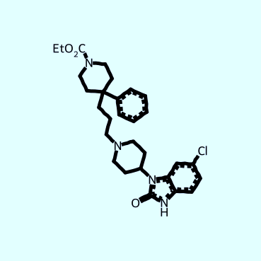 CCOC(=O)N1CCC(CCCN2CCC(n3c(=O)[nH]c4ccc(Cl)cc43)CC2)(c2ccccc2)CC1